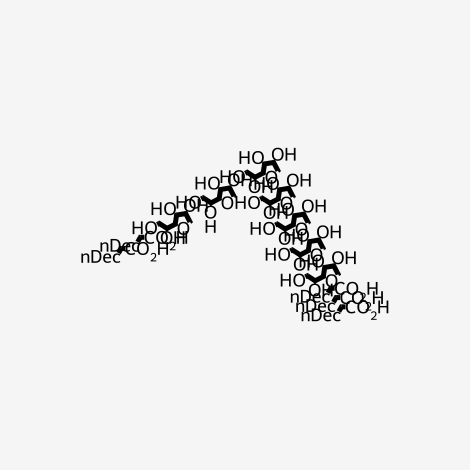 CCCCCCCCCCCC(=O)O.CCCCCCCCCCCC(=O)O.CCCCCCCCCCCC(=O)O.CCCCCCCCCCCC(=O)O.CCCCCCCCCCCC(=O)O.OC[C@@H](O)[C@H]1OC[C@H](O)[C@H]1O.OC[C@@H](O)[C@H]1OC[C@H](O)[C@H]1O.OC[C@@H](O)[C@H]1OC[C@H](O)[C@H]1O.OC[C@@H](O)[C@H]1OC[C@H](O)[C@H]1O.OC[C@@H](O)[C@H]1OC[C@H](O)[C@H]1O.OC[C@@H](O)[C@H]1OC[C@H](O)[C@H]1O.OC[C@@H](O)[C@H]1OC[C@H](O)[C@H]1O